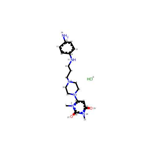 Cl.Cn1c(N2CCN(CCCNc3ccc(N)cc3)CC2)cc(=O)n(C)c1=O